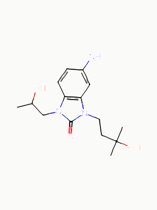 CC(O)Cn1c(=O)n(CCC(C)(C)O)c2cc(N)ccc21